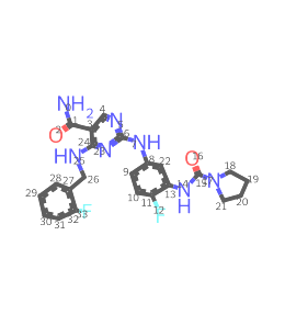 NC(=O)c1cnc(Nc2ccc(F)c(NC(=O)N3CCCC3)c2)nc1NCc1ccccc1F